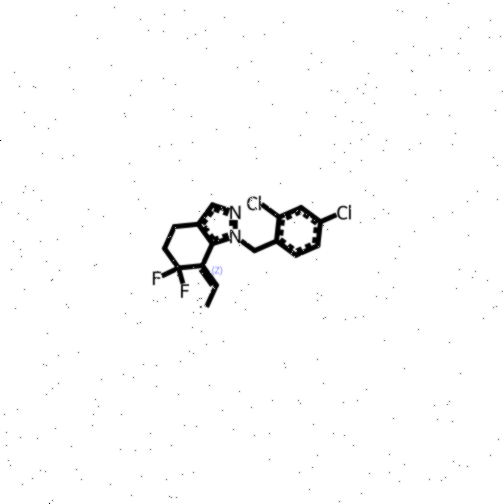 [CH2]/C=C1/c2c(cnn2Cc2ccc(Cl)cc2Cl)CCC1(F)F